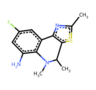 Cc1nc2c(s1)C(C)N(C)c1c(N)cc(F)cc1-2